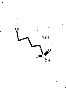 O=S(=O)(O)CCCCO.[NaH]